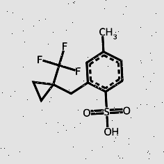 Cc1ccc(S(=O)(=O)O)c(CC2(C(F)(F)F)CC2)c1